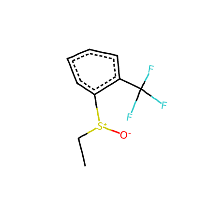 CC[S+]([O-])c1ccccc1C(F)(F)F